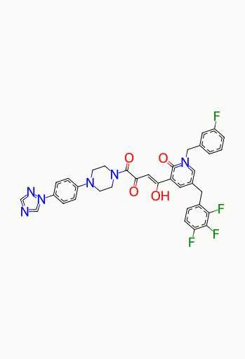 O=C(C=C(O)c1cc(Cc2ccc(F)c(F)c2F)cn(Cc2cccc(F)c2)c1=O)C(=O)N1CCN(c2ccc(-n3cncn3)cc2)CC1